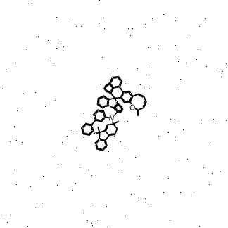 C=C1/C=C\C=C/c2cc3c(cc2O1)C1(c2ccccc2-c2c(N(c4cccc(-c5ccccc5)c4)C4(C)C=C5C(=CC4)c4ccccc4C5(C)C)cccc21)c1cccc2cccc-3c12